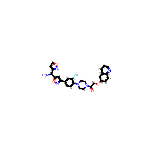 NC(c1ccon1)c1cc(-c2ccc(N3CCN(C(=O)COc4ccc5ncccc5c4)CC3)c(F)c2)no1